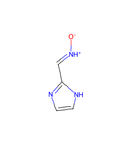 [O-][NH+]=Cc1ncc[nH]1